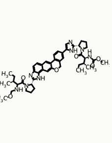 CC[C@H](C)C(NCOC)C(=O)N1CCC[C@H]1c1nc2ccc3cc4c(cc3c2[nH]1)OCc1cc(-c2cnc([C@@H]3CCCN3C(=O)[C@@H](NC(=O)OC)[C@@H](C)CC)[nH]2)ccc1-4